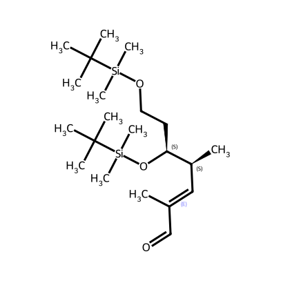 C/C(C=O)=C\[C@H](C)[C@H](CCO[Si](C)(C)C(C)(C)C)O[Si](C)(C)C(C)(C)C